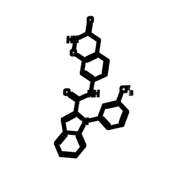 O=C1Cc2ccc(NC(=O)c3cc4ccccc4n3-c3cccc(C(F)(F)F)c3)cc2ON1